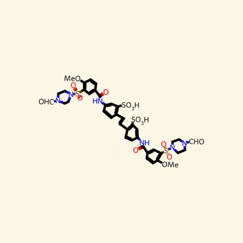 COc1ccc(C(=O)Nc2ccc(C=Cc3ccc(NC(=O)c4ccc(OC)c(S(=O)(=O)N5CCN(C=O)CC5)c4)cc3S(=O)(=O)O)c(S(=O)(=O)O)c2)cc1S(=O)(=O)N1CCN(C=O)CC1